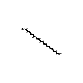 CC(C)CCCCCCCCCCCCCOC(=O)CCCCCC(C)(C)C